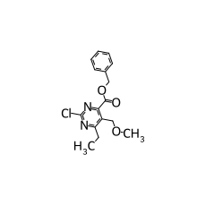 CCc1nc(Cl)nc(C(=O)OCc2ccccc2)c1COC